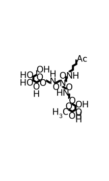 CC(=O)CCCCCNC(=O)CN(CC(=O)NCCO[C@H]1O[C@H](CO)[C@@H](O)[C@H](O)[C@@H]1O)CC(=O)NCCO[C@@H]1O[C@@H](C)[C@@H](O)[C@@H](O)[C@@H]1O